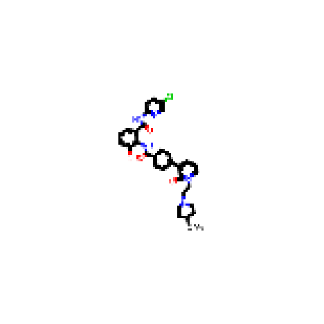 COC1CCN(CCn2cccc(-c3ccc(C(=O)Nc4c(O)cccc4C(=O)Nc4ccc(Cl)cn4)cc3)c2=O)CC1